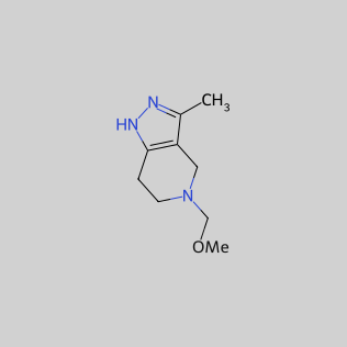 COCN1CCc2[nH]nc(C)c2C1